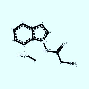 CC(=O)O.NCC(=O)Nn1ccc2ccccc21